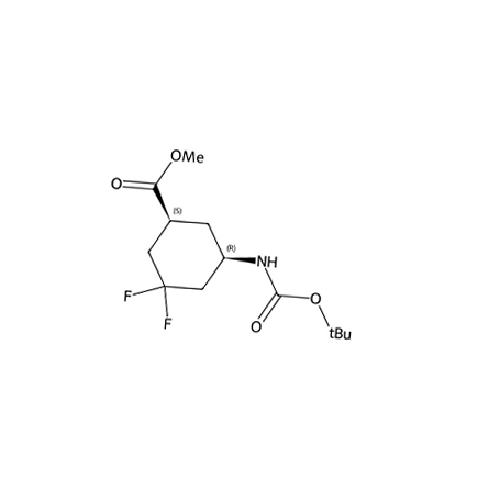 COC(=O)[C@H]1C[C@@H](NC(=O)OC(C)(C)C)CC(F)(F)C1